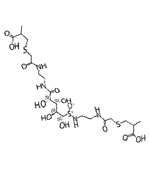 CC(CSCC(=O)NCCNC(=O)[C@@H](O)[C@H](O)[C@H](O)[C@@H](O)[S+]([O-])NCCNC(=O)CSCC(C)C(=O)O)C(=O)O